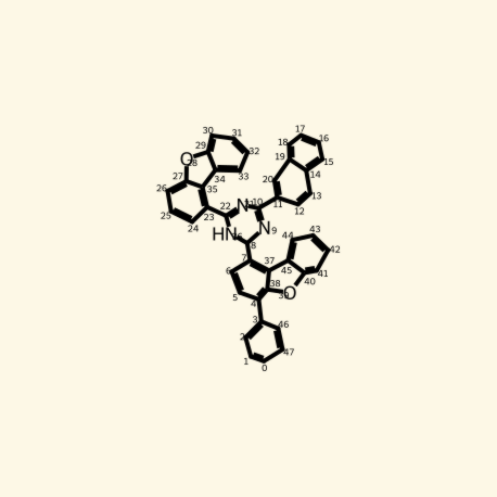 c1ccc(-c2ccc(C3N=C(c4ccc5ccccc5c4)N=C(c4cccc5oc6ccccc6c45)N3)c3c2oc2ccccc23)cc1